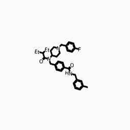 CCC(CC)C(=O)N(Cc1ccc(C(=O)NCc2cccc(C)c2)cc1)C1CCN(Cc2ccc(F)cc2)CC1